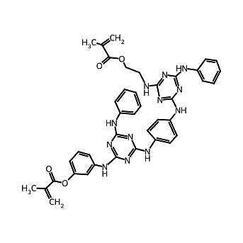 C=C(C)C(=O)OCCNc1nc(Nc2ccccc2)nc(Nc2ccc(Nc3nc(Nc4ccccc4)nc(Nc4cccc(OC(=O)C(=C)C)c4)n3)cc2)n1